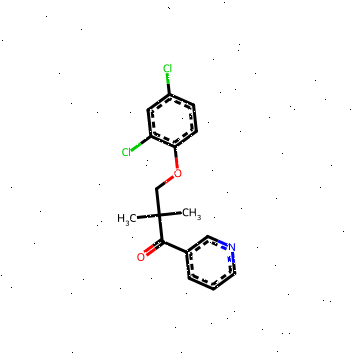 CC(C)(COc1ccc(Cl)cc1Cl)C(=O)c1cccnc1